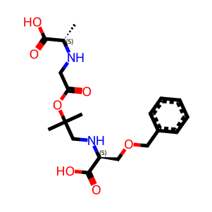 C[C@H](NCC(=O)OC(C)(C)CN[C@@H](COCc1ccccc1)C(=O)O)C(=O)O